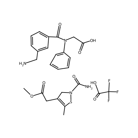 COC(=O)CC1=C(C)SN(C(N)=O)C1.NCc1cccc(C(=O)N(CC(=O)O)c2ccccc2)c1.O=C(O)C(F)(F)F